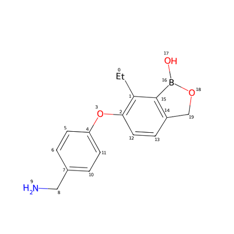 CCc1c(Oc2ccc(CN)cc2)ccc2c1B(O)OC2